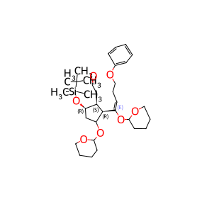 CC(C)(C)[Si](C)(C)O[C@@H]1CC(OC2CCCCO2)[C@H](/C(=C\CCOc2ccccc2)OC2CCCCO2)[C@@H]1CC=O